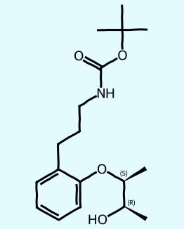 C[C@H](Oc1ccccc1CCCNC(=O)OC(C)(C)C)[C@@H](C)O